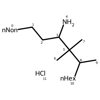 CCCCCCCCCCCC(N)C(C)(C)C(C)CCCCCC.Cl